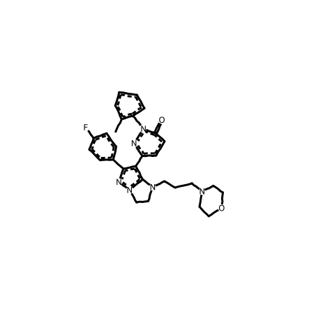 Cc1ccccc1-n1nc(-c2c(-c3ccc(F)cc3)nn3c2N(CCCN2CCOCC2)CC3)ccc1=O